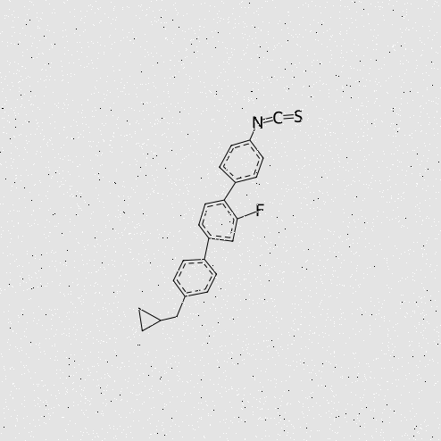 Fc1cc(-c2ccc(CC3CC3)cc2)ccc1-c1ccc(N=C=S)cc1